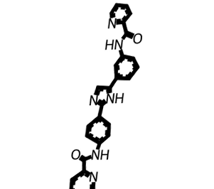 O=C(Nc1ccc(-c2ncc(-c3cccc(NC(=O)c4ccccn4)c3)[nH]2)cc1)c1ccccn1